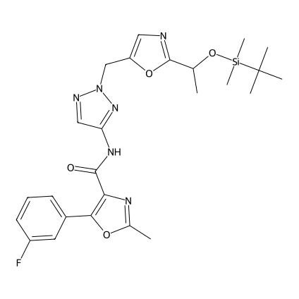 Cc1nc(C(=O)Nc2cnn(Cc3cnc(C(C)O[Si](C)(C)C(C)(C)C)o3)n2)c(-c2cccc(F)c2)o1